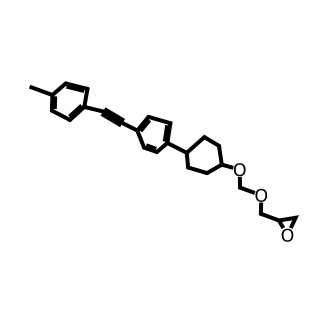 Cc1ccc(C#Cc2ccc(C3CCC(OCOCC4CO4)CC3)cc2)cc1